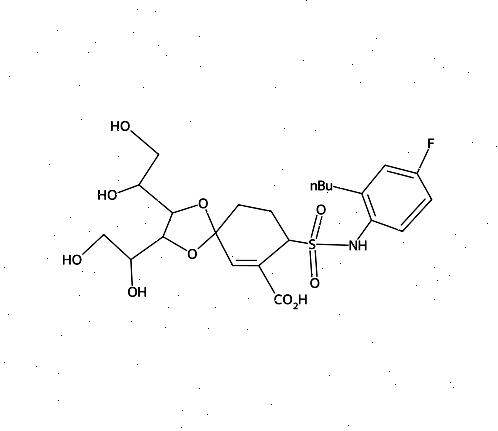 CCCCc1cc(F)ccc1NS(=O)(=O)C1CCC2(C=C1C(=O)O)OC(C(O)CO)C(C(O)CO)O2